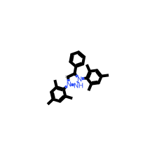 Cc1cc(C)c(N2[C]C(c3ccccc3)N(c3c(C)cc(C)cc3C)N2)c(C)c1